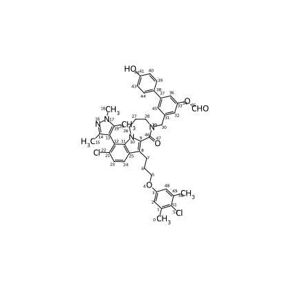 Cc1cc(OCCCc2c3n(c4c(-c5c(C)nn(C)c5C)c(Cl)ccc24)CCCN(Cc2cc(OC=O)cc(-c4ccc(O)cc4)c2)C3=O)cc(C)c1Cl